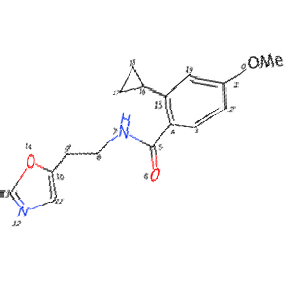 COc1ccc(C(=O)NCCc2cnco2)c(C2CC2)c1